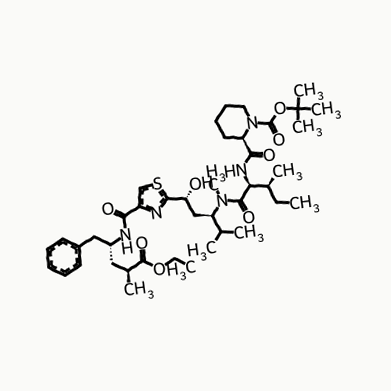 CCOC(=O)[C@@H](C)C[C@H](Cc1ccccc1)NC(=O)c1csc([C@H](O)C[C@H](C(C)C)N(C)C(=O)[C@@H](NC(=O)[C@H]2CCCCN2C(=O)OC(C)(C)C)[C@@H](C)CC)n1